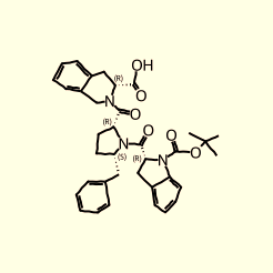 CC(C)(C)OC(=O)N1c2ccccc2C[C@@H]1C(=O)N1[C@H](Cc2ccccc2)CC[C@@H]1C(=O)N1Cc2ccccc2C[C@@H]1C(=O)O